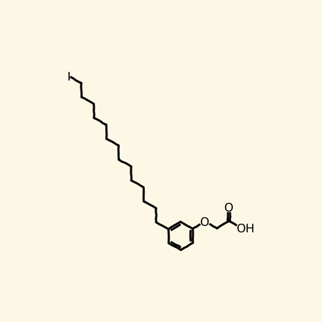 O=C(O)COc1cccc(CCCCCCCCCCCCCCI)c1